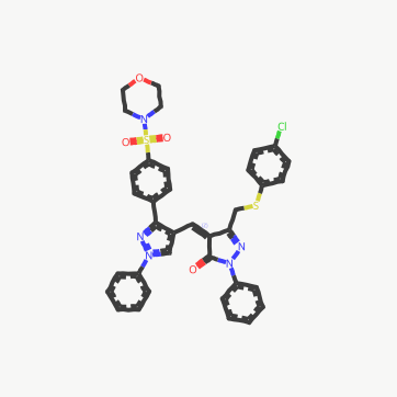 O=C1/C(=C\c2cn(-c3ccccc3)nc2-c2ccc(S(=O)(=O)N3CCOCC3)cc2)C(CSc2ccc(Cl)cc2)=NN1c1ccccc1